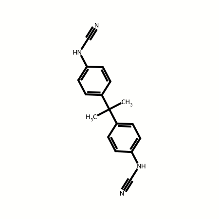 CC(C)(c1ccc(NC#N)cc1)c1ccc(NC#N)cc1